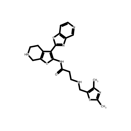 Cc1nc(C)c(CNCCC(=O)Nc2sc3c(c2-c2nc4cnccc4s2)CCNC3)s1